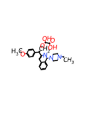 C=C(c1ccc(OC)cc1)c1cc2ccccc2c(N2CCN(CC)CC2)n1.O=C(O)C(=O)O